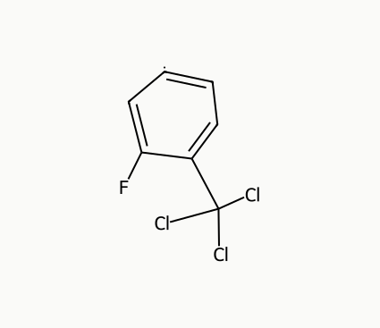 Fc1c[c]ccc1C(Cl)(Cl)Cl